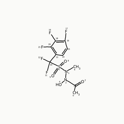 CC(=O)N(O)N(C)S(=O)(=O)C(F)(F)c1ccc(F)c(F)c1F